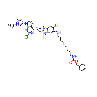 Cn1cc(-n2cnc3c(NCc4nc5cc(Cl)c(NCCCCCCCCCNC(=O)OCc6ccccc6)cc5[nH]4)nc(Cl)nc32)cn1